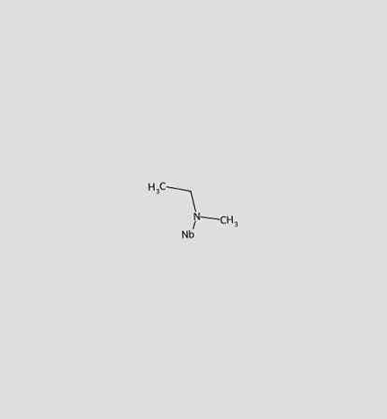 CC[N](C)[Nb]